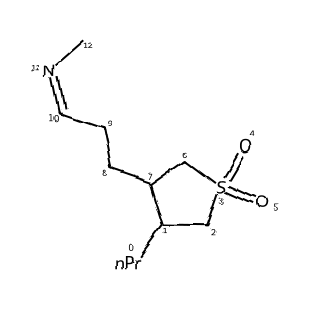 CCCC1CS(=O)(=O)CC1CC/C=N\C